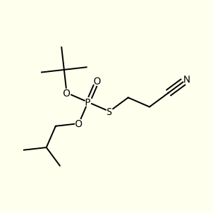 CC(C)COP(=O)(OC(C)(C)C)SCCC#N